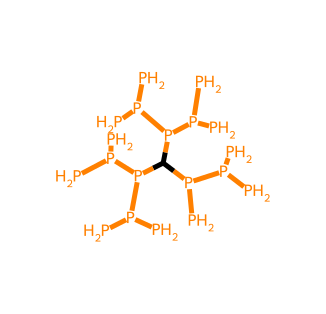 PP(P)P(P)C(P(P(P)P)P(P)P)P(P(P)P)P(P)P